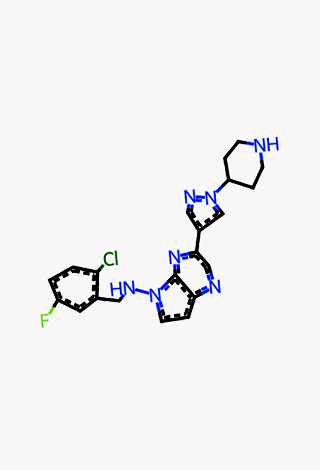 Fc1ccc(Cl)c(CNn2ccc3ncc(-c4cnn(C5CCNCC5)c4)nc32)c1